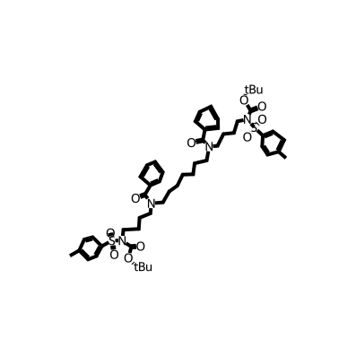 Cc1ccc(S(=O)(=O)N(CCCCN(CCCCCCCN(CCCCN(C(=O)OC(C)(C)C)S(=O)(=O)c2ccc(C)cc2)C(=O)c2ccccc2)C(=O)c2ccccc2)C(=O)OC(C)(C)C)cc1